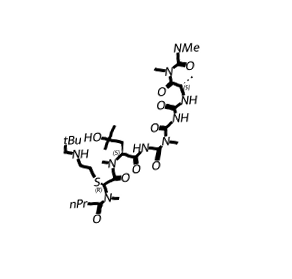 CCCC(=O)N(C)[C@H](SCCNCC(C)(C)C)C(=O)N(C)[C@@H](CC(C)(C)O)C(=O)NC(=O)N(C)C(=O)NC(=O)N[C@@H](C)C(=O)N(C)C(=O)NC